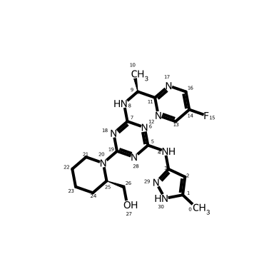 Cc1cc(Nc2nc(N[C@@H](C)c3ncc(F)cn3)nc(N3CCCC[C@@H]3CO)n2)n[nH]1